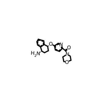 N[C@H]1CC[C@@H](Oc2ccc(C(=O)N3CCOCC3)nc2)c2ccccc21